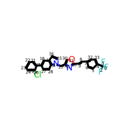 FC(F)(F)c1ccc(/C=C/c2nc(Cn3ccc4cc(-c5ccccc5Cl)ccc43)co2)cc1